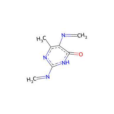 C=Nc1nc(C)c(N=C)c(=O)[nH]1